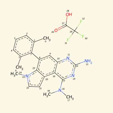 Cc1cccc(C)c1-c1cc2nc(N)nc(N(C)C)c2c2ccn(C)c12.O=C(O)C(F)(F)F